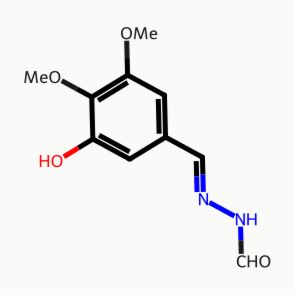 COc1cc(/C=N/NC=O)cc(O)c1OC